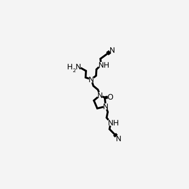 N#CCNCCN(CCN)CCN1CCN(CCNCC#N)C1=O